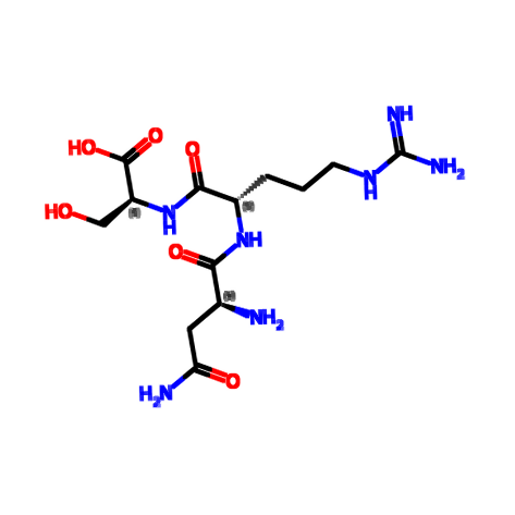 N=C(N)NCCC[C@H](NC(=O)[C@@H](N)CC(N)=O)C(=O)N[C@@H](CO)C(=O)O